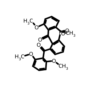 COc1cccc(OC)c1C(=O)c1cccc(P=O)c1C(=O)c1c(OC)cccc1OC